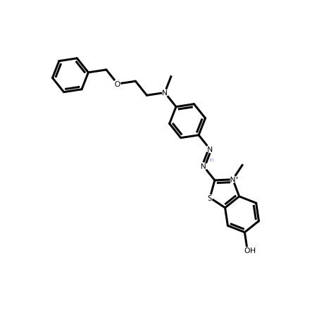 CN(CCOCc1ccccc1)c1ccc(/N=N/c2sc3cc(O)ccc3[n+]2C)cc1